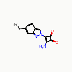 CC(C)Cc1ccc2cn(-c3c(N)c(=O)c3=O)nc2c1